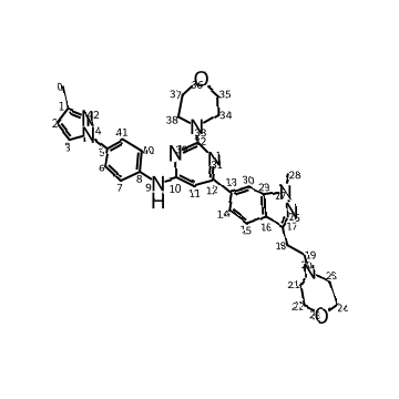 Cc1ccn(-c2ccc(Nc3cc(-c4ccc5c(CCN6CCOCC6)nn(C)c5c4)nc(N4CCOCC4)n3)cc2)n1